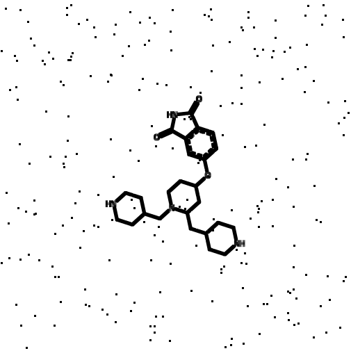 O=C1NC(=O)c2cc(OC3CCN(CC4CCNCC4)C(CC4CCNCC4)C3)ccc21